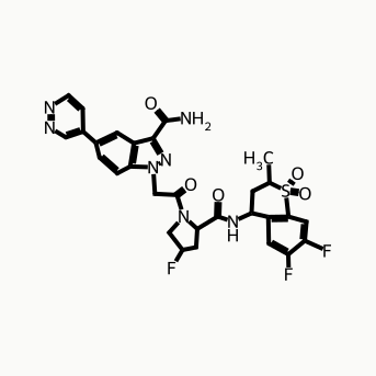 CC1CC(NC(=O)C2CC(F)CN2C(=O)Cn2nc(C(N)=O)c3cc(-c4ccnnc4)ccc32)c2cc(F)c(F)cc2S1(=O)=O